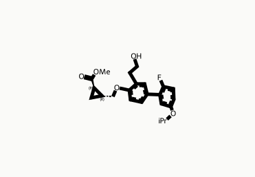 COC(=O)[C@@H]1C[C@H]1COc1ccc(-c2cc(OC(C)C)ccc2F)cc1CCO